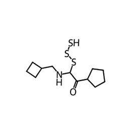 O=C(C1CCCC1)C(NCC1CCC1)SSS